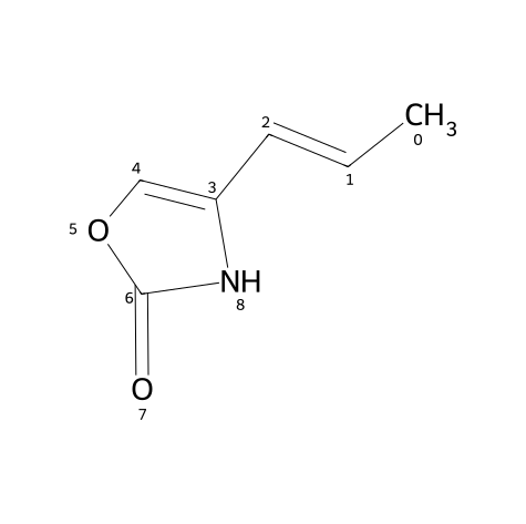 CC=Cc1coc(=O)[nH]1